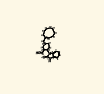 O=c1[nH]c2ccccc2n1C1CCN(CC2CCCCCCCC2)CC1CO